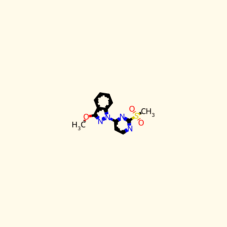 COc1nn(-c2ccnc(S(C)(=O)=O)n2)c2ccccc12